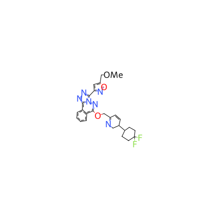 COCc1cc(-c2nnc3c4ccccc4c(OCC4=NCC(C5CCC(F)(F)CC5)C=C4)nn23)no1